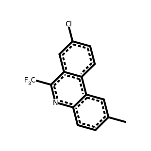 Cc1ccc2nc(C(F)(F)F)c3cc(Cl)ccc3c2c1